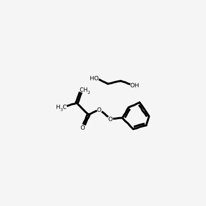 C=C(C)C(=O)OOc1ccccc1.OCCO